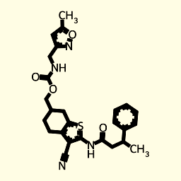 Cc1cc(CNC(=O)OCC2CCc3c(sc(NC(=O)CC(C)c4ccccc4)c3C#N)C2)no1